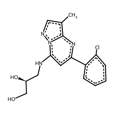 Cc1cnn2c(NC[C@H](O)CO)cc(-c3ccccc3Cl)nc12